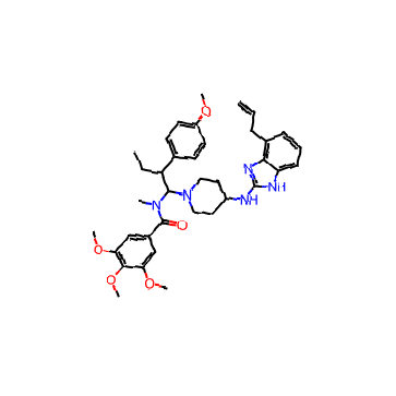 C=CCc1cccc2[nH]c(NC3CCN(C(C(CC)c4ccc(OC)cc4)N(C)C(=O)c4cc(OC)c(OC)c(OC)c4)CC3)nc12